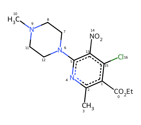 CCOC(=O)c1c(C)nc(N2CCN(C)CC2)c([N+](=O)[O-])c1Cl